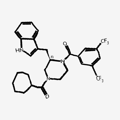 O=C(C1CCCCC1)N1CCN(C(=O)c2cc(C(F)(F)F)cc(C(F)(F)F)c2)[C@H](Cc2c[nH]c3ccccc23)C1